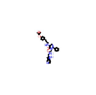 O=C(Cn1c(-c2ccccc2)ncc(NCCCc2ccc(OC3COC3)cc2)c1=O)NCc1cc2cnccc2[nH]1